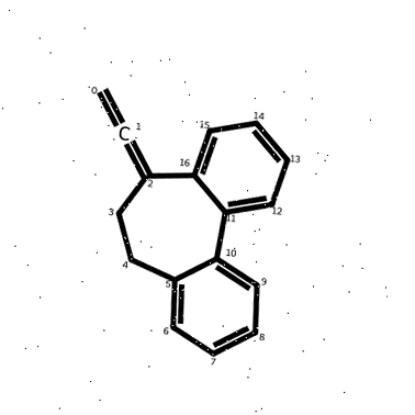 C=C=C1CCc2ccccc2-c2ccccc21